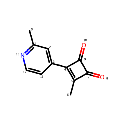 Cc1cc(-c2c(C)c(=O)c2=O)ccn1